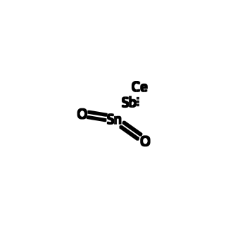 [Ce].[O]=[Sn]=[O].[Sb]